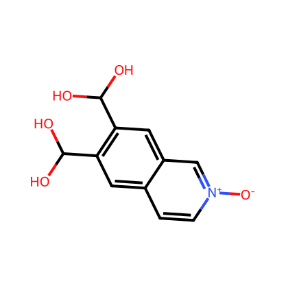 [O-][n+]1ccc2cc(C(O)O)c(C(O)O)cc2c1